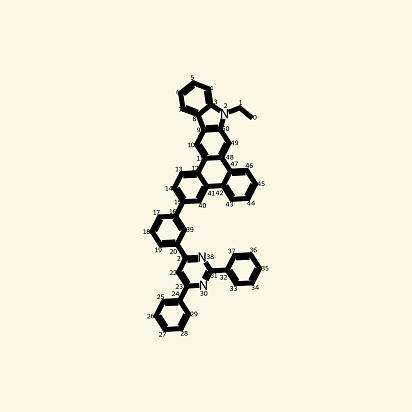 CCn1c2ccccc2c2cc3c4ccc(-c5cccc(-c6cc(-c7ccccc7)nc(-c7ccccc7)n6)c5)cc4c4ccccc4c3cc21